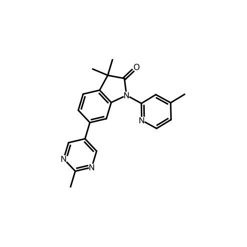 Cc1ccnc(N2C(=O)C(C)(C)c3ccc(-c4cnc(C)nc4)cc32)c1